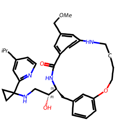 COCc1cc2cc(c1)C(=O)N[C@H]([C@H](O)CNC1(c3cc(C(C)C)ccn3)CC1)Cc1cccc(c1)OCCCCN2